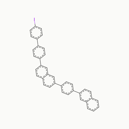 Ic1ccc(-c2ccc(-c3ccc4ccc(-c5ccc(-c6ccc7ccccc7c6)cc5)cc4c3)cc2)cc1